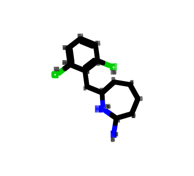 [N]C1CCCCC(Cc2c(Cl)cccc2Cl)N1